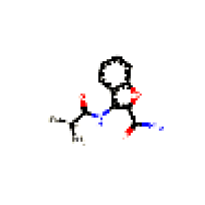 B[C@H](C(=O)Nc1c(C(N)=O)oc2ccccc12)C(C)C